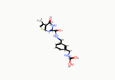 Cc1csc2nc(C(=O)NCc3cccc(CNC(=O)O)c3)[nH]c(=O)c12